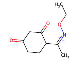 CCO/N=C(/C)C1CCC(=O)CC1=O